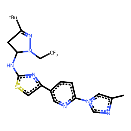 Cc1cn(-c2ccc(-c3csc(NC4CC(C(C)(C)C)=NN4CC(F)(F)F)n3)cn2)cn1